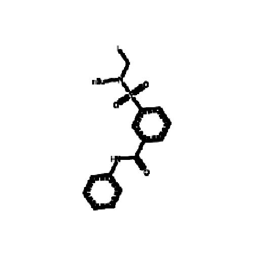 CCCCN(CI)S(=O)(=O)c1cccc(C(=O)Nc2ccccc2)c1